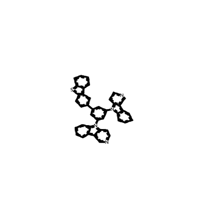 c1ccc2c(c1)sc1ccc(-c3cc(-n4c5ccccc5c5cnccc54)cc(-n4c5ccccc5c5cnccc54)c3)cc12